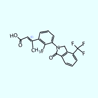 C/C(=C\C(=O)O)c1cccc(N2Cc3c(cccc3C(F)(F)F)C2=O)c1F